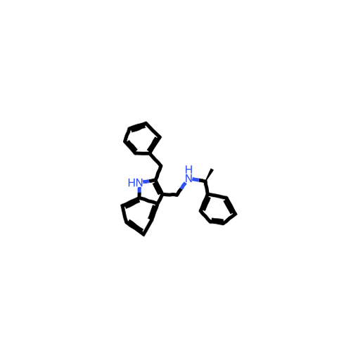 C[C@H](NCc1c(Cc2ccccc2)[nH]c2ccccc12)c1ccccc1